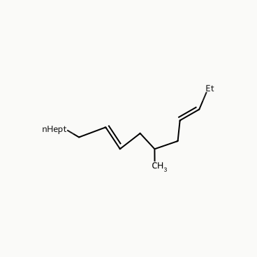 CCC=CCC(C)CC=CCCCCCCCC